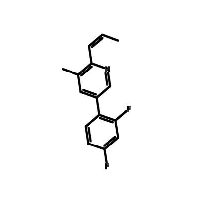 C/C=C\c1ncc(-c2ccc(F)cc2F)cc1C